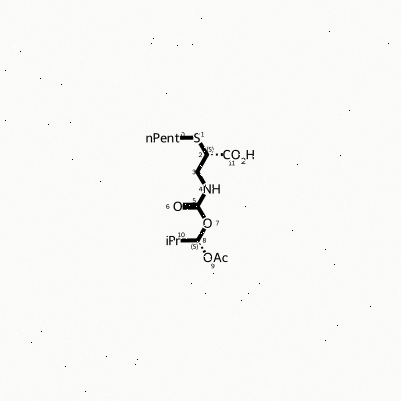 CCCCCS[C@@H](CNC(=O)O[C@H](OC(C)=O)C(C)C)C(=O)O